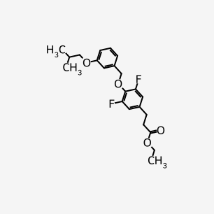 CCOC(=O)CCc1cc(F)c(OCc2cccc(OCC(C)C)c2)c(F)c1